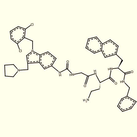 NCC[C@H](NC(=O)CNC(=O)Nc1ccc2c(c1)c(CN1CCCC1)cn2Cc1c(Cl)cccc1Cl)C(=O)N[C@@H](Cc1ccc2ccccc2c1)C(=O)NCc1ccccc1